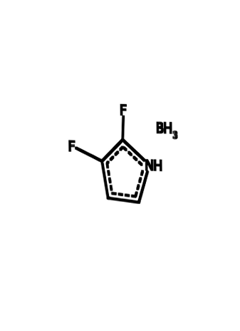 B.Fc1cc[nH]c1F